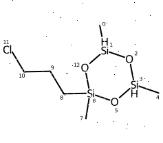 C[SiH]1O[SiH](C)O[Si](C)(CCCCl)O1